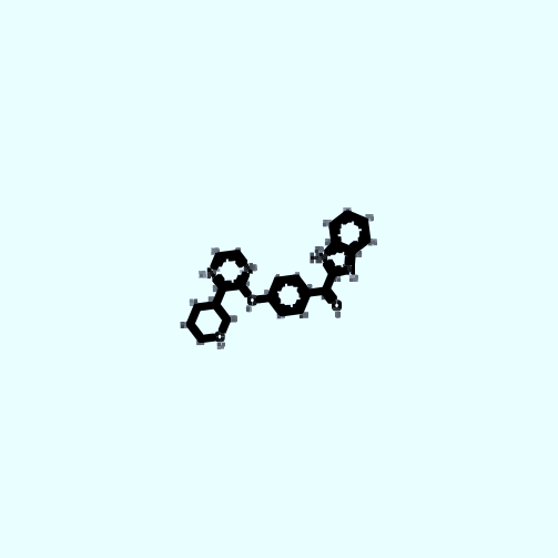 O=C(c1ccc(Oc2nccnc2C2CCCOC2)cc1)c1nc2ccccc2[nH]1